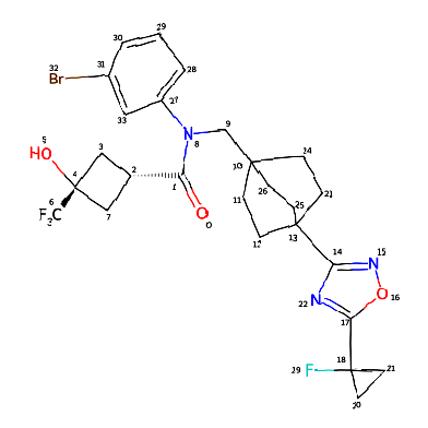 O=C([C@H]1C[C@](O)(C(F)(F)F)C1)N(CC12CCC(c3noc(C4(F)CC4)n3)(CC1)CC2)c1cccc(Br)c1